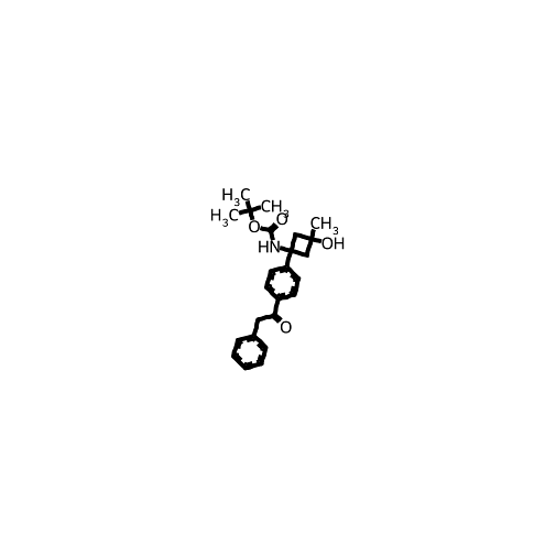 CC1(O)CC(NC(=O)OC(C)(C)C)(c2ccc(C(=O)Cc3ccccc3)cc2)C1